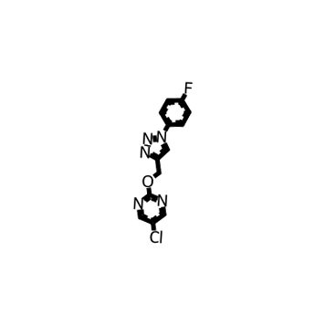 Fc1ccc(-n2cc(COc3ncc(Cl)cn3)nn2)cc1